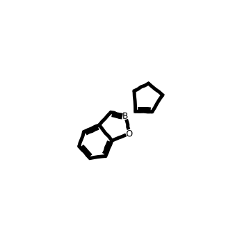 C1=CCCC1.b1cc2ccccc2o1